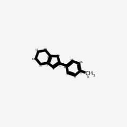 Cc1ccc(C2=CC3=C([CH]2)CCCC3)cc1